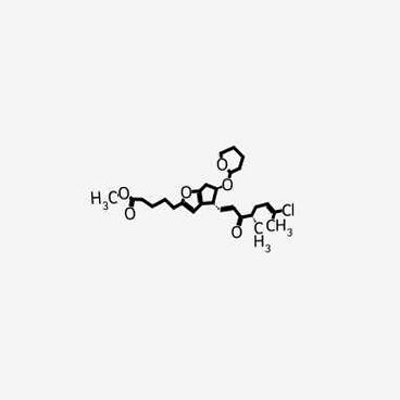 COC(=O)CCCCc1cc2c(o1)C[C@@H](OC1CCCCO1)[C@@H]2/C=C/C(=O)[C@@H](C)C/C=C(\C)Cl